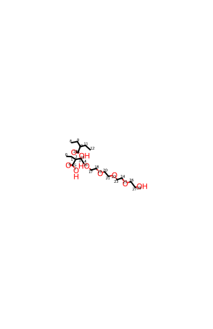 CCC(CC)C(=O)O.CCC(CC)C(=O)O.OCCOCCOCCOCCO